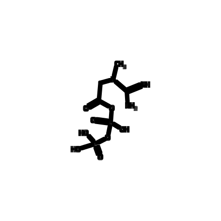 CN(CC(=O)OP(=O)(O)OP(=O)(O)O)C(=N)N